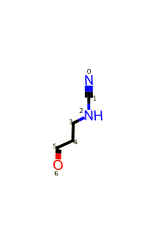 N#CNCCC=O